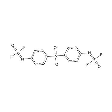 O=S(=O)(c1ccc(N=S(=O)(F)F)cc1)c1ccc(N=S(=O)(F)F)cc1